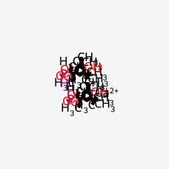 CCC(CC)(O[PH](=O)[O-])c1cc(C(C)(C)C)c(O)c(C(C)(C)C)c1.CCC(CC)(O[PH](=O)[O-])c1cc(C(C)(C)C)c(O)c(C(C)(C)C)c1.[Ca+2]